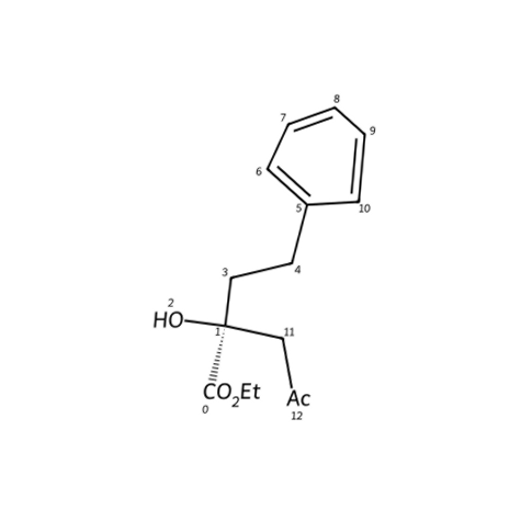 CCOC(=O)[C@](O)(CCc1ccccc1)CC(C)=O